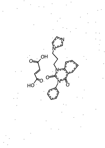 O=C(O)/C=C/C(=O)O.O=c1c2ccccc2n(CCCn2ccnc2)c(=O)n1-c1ccccc1